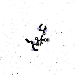 C=C/C=C(\C=C/C)NC(=O)[C@@](C)(O)COC(/C=C\C)=C/C